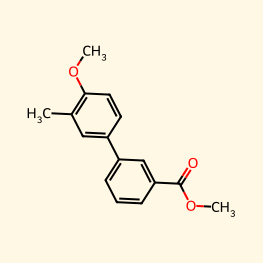 COC(=O)c1cccc(-c2ccc(OC)c(C)c2)c1